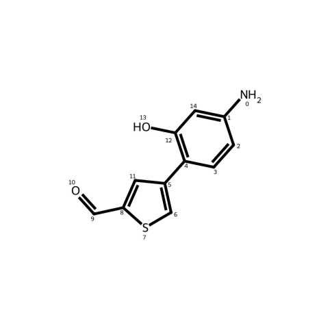 Nc1ccc(-c2csc(C=O)c2)c(O)c1